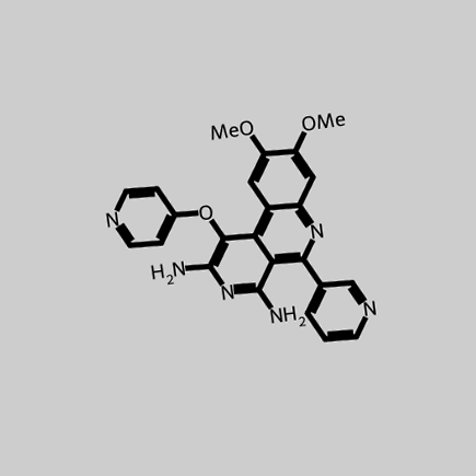 COc1cc2nc(-c3cccnc3)c3c(N)nc(N)c(Oc4ccncc4)c3c2cc1OC